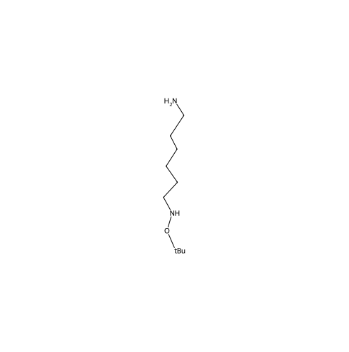 CC(C)(C)ONCCCCCCN